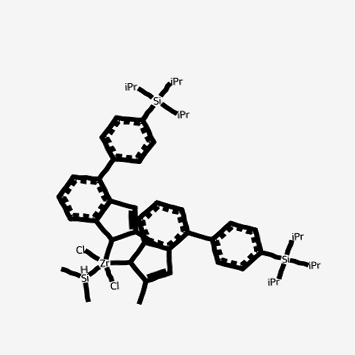 CC1=Cc2c(-c3ccc([Si](C(C)C)(C(C)C)C(C)C)cc3)cccc2[CH]1[Zr]([Cl])([Cl])([CH]1C(C)=Cc2c(-c3ccc([Si](C(C)C)(C(C)C)C(C)C)cc3)cccc21)[SiH](C)C